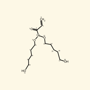 C=CC(=O)N(OCCCCCO)OCCCCCO